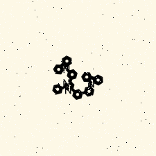 c1ccc(-c2nc(-c3cccc(-c4cccc(-n5c6ccccc6c6ccccc65)c4)c3)cc(-c3cccc(-n4c5ccccc5c5ccccc54)c3)n2)cc1